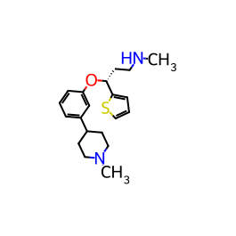 CNCC[C@@H](Oc1cccc(C2CCN(C)CC2)c1)c1cccs1